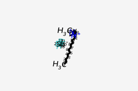 CCCCCCCCCCCC[n+]1ccn(C)c1.[F][Sb-]([F])([F])([F])([F])[F]